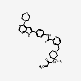 C=CC(=O)N[C@]1(C)CCCN(Cc2ccnc(C(=O)Nc3ccc(-c4cc5c(N6CCOCC6)ncnc5[nH]4)cc3)c2)C1